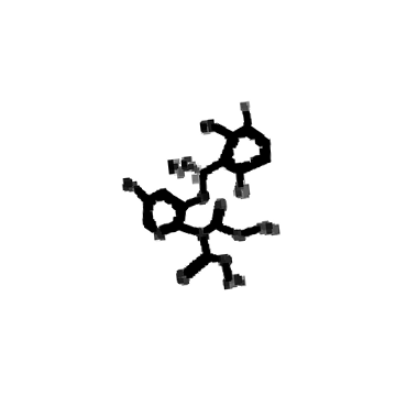 C[C@@H](Oc1cc(Br)cnc1N(C(=O)OC(C)(C)C)C(=O)OC(C)(C)C)c1c(Cl)ccc(F)c1Cl